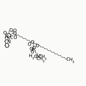 CCCCCCCCCCCCCCCCCOCC(COP(=O)([O-])CCC[N+](C)(C)C)OC(=O)CCCCCCCC(=O)O[C@]1(CC)C(=O)OCc2c1cc1n(c2=O)Cc2cc3ccccc3nc2-1